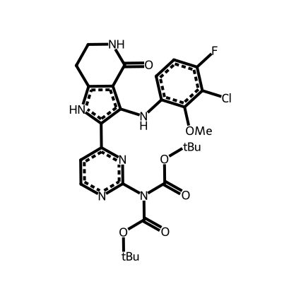 COc1c(Nc2c(-c3ccnc(N(C(=O)OC(C)(C)C)C(=O)OC(C)(C)C)n3)[nH]c3c2C(=O)NCC3)ccc(F)c1Cl